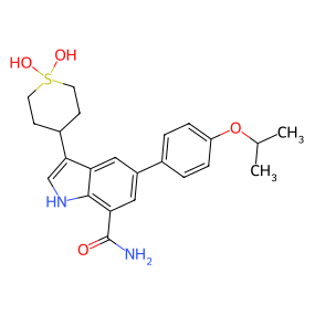 CC(C)Oc1ccc(-c2cc(C(N)=O)c3[nH]cc(C4CCS(O)(O)CC4)c3c2)cc1